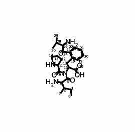 CCC(C)C(N)C(=O)N(C(=O)C1CCCN1)C(Cc1ccccc1C(=O)C(N)C(C)C)C(=O)O